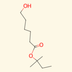 CCC(C)(C)OC(=O)CCCCCO